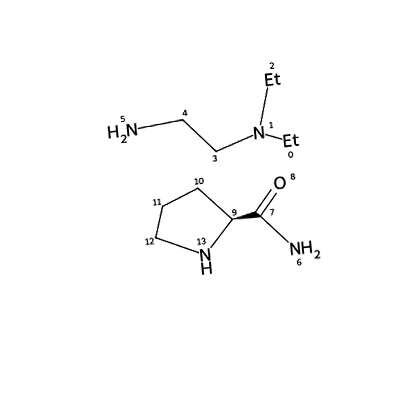 CCN(CC)CCN.NC(=O)[C@@H]1CCCN1